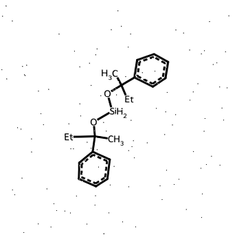 CCC(C)(O[SiH2]OC(C)(CC)c1ccccc1)c1ccccc1